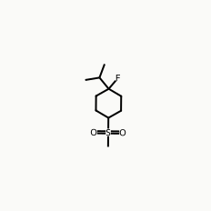 CC(C)C1(F)CCC(S(C)(=O)=O)CC1